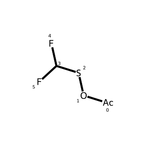 CC(=O)OSC(F)F